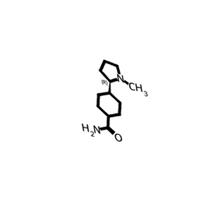 CN1CCC[C@@H]1C1CCC(C(N)=O)CC1